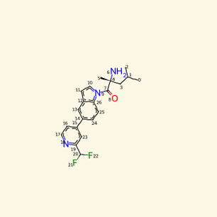 CC(C)C[C@@](C)(N)C(=O)n1ccc2cc(-c3ccnc(C(F)F)c3)ccc21